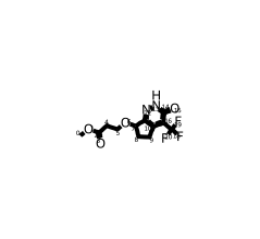 COC(=O)CCOC1CCc2c1n[nH]c(=O)c2C(F)(F)F